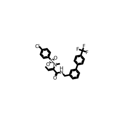 CC=C(C(=O)NCc1cccc(-c2ccc(C(F)(F)F)cc2)c1)N(C)S(=O)(=O)c1ccc(Cl)cc1